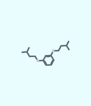 CC(C)CCOc1[c]ccc(OCCC(C)C)c1